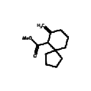 C=C1CCCC2(CCCC2)C1C(=O)OC